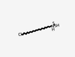 S=C(S)NCCCCCCCCCCCCCCCCCCCCCl